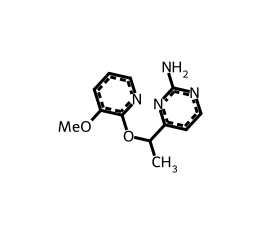 COc1cccnc1OC(C)c1ccnc(N)n1